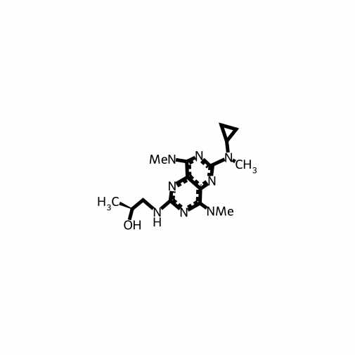 CNc1nc(N(C)C2CC2)nc2c(NC)nc(NC[C@H](C)O)nc12